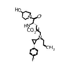 C=CCN(CCC[C@H](NC(=O)O)C(=O)N1CCC(O)CC1)C1C[C@H]1c1ccc(F)cc1